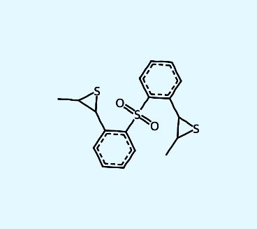 CC1SC1c1ccccc1S(=O)(=O)c1ccccc1C1SC1C